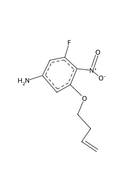 C=CCCOc1cc(N)cc(F)c1[N+](=O)[O-]